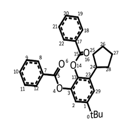 CC(C)(C)c1cc(OC(=O)c2ccccc2)c(OC(=O)c2ccccc2)c(C2CCCC2)c1